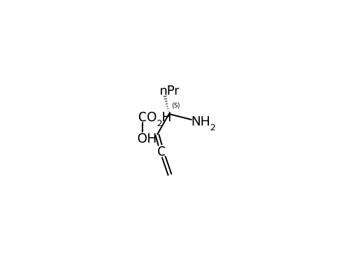 C=C=C[C@@H](N)CCC.O=C(O)O